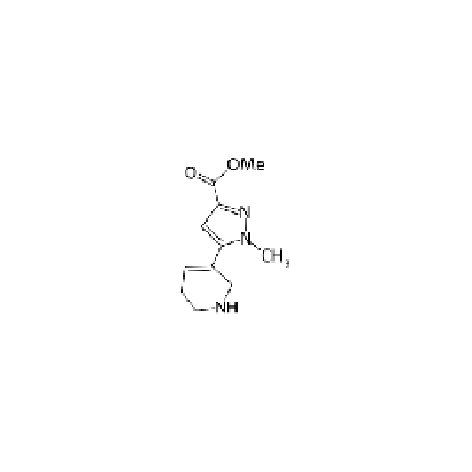 COC(=O)c1cc(C2=CCCNC2)n(C)n1